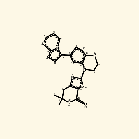 CC1(C)Cc2nc(N3CCOc4ccc(-c5cnc6ncccn56)cc43)sc2C(=O)N1